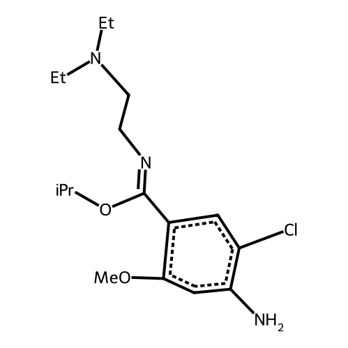 CCN(CC)CC/N=C(\OC(C)C)c1cc(Cl)c(N)cc1OC